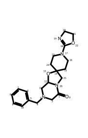 O=C1CN(Cc2ccccc2)CC2OC3(CCN(C4=NCCO4)CC3)CN12